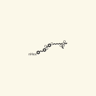 C=CC(=O)OCC(CCCCCCOc1ccc(C(=O)Oc2ccc(CCc3ccc(CCCCCC)cc3)cc2)cc1)OC(=O)C=C